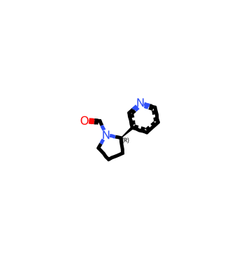 O=CN1CCC[C@@H]1c1cccnc1